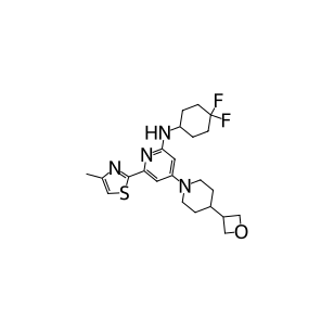 Cc1csc(-c2cc(N3CCC(C4COC4)CC3)cc(NC3CCC(F)(F)CC3)n2)n1